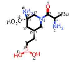 CCC(C)C(N)C(=O)N1C[C@@H](CCB(O)O)C[C@](N)(C(=O)O)C1